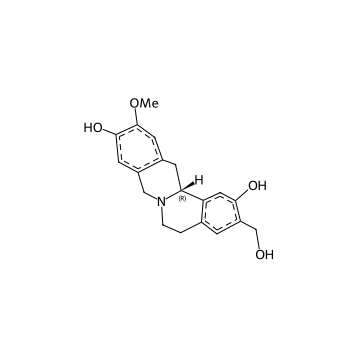 COc1cc2c(cc1O)CN1CCc3cc(CO)c(O)cc3[C@H]1C2